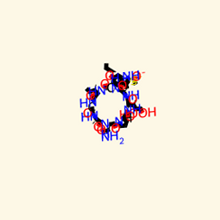 CCCOc1ccc2c(C[C@@H]3NC(=O)[C@H]([C@@H](C)[C@@H](O)CO)NC(=O)[C@@H]4CCCN4C(=O)[C@H](CC(N)=O)NC(=O)[C@H](C)NC(=O)CNC(=O)[C@H]([C@@H](C)CC)NC(=O)CNC3=O)c([S+](C)[O-])[nH]c2c1